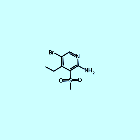 CCc1c(Br)cnc(N)c1S(C)(=O)=O